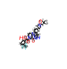 CC(C)(C)CC(=O)N1CC=C(c2cccc(C3(c4nc5c(c(=O)[nH]4)CN(C(=O)[C@H](O)c4cccc(C(F)(F)F)c4)CCC5)CC3)c2)CC1